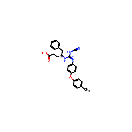 Cc1ccc(Oc2ccc(/N=C(/NC#N)N[C@H](CCC(=O)O)Cc3ccccc3)cc2)cc1